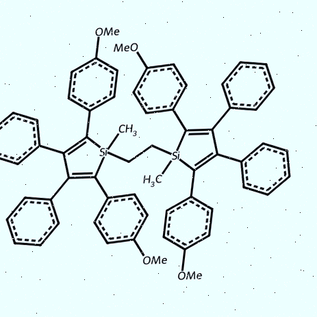 COc1ccc(C2=C(c3ccccc3)C(c3ccccc3)=C(c3ccc(OC)cc3)[Si]2(C)CC[Si]2(C)C(c3ccc(OC)cc3)=C(c3ccccc3)C(c3ccccc3)=C2c2ccc(OC)cc2)cc1